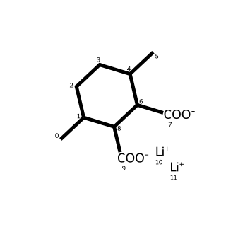 CC1CCC(C)C(C(=O)[O-])C1C(=O)[O-].[Li+].[Li+]